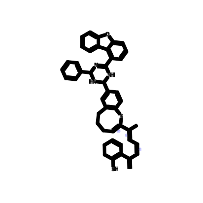 C=C(\C=C/C=C(C)/C1=C/CCCc2cc(C3NC(c4cccc5oc6ccccc6c45)=NC(c4ccccc4)N3)ccc2S1)C1=C(S)CCC=C1